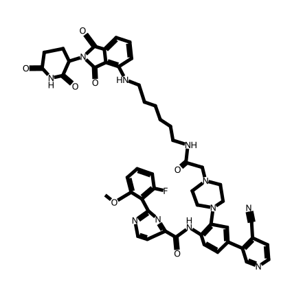 COc1cccc(F)c1-c1nccc(C(=O)Nc2ccc(-c3cnccc3C#N)cc2N2CCN(CC(=O)NCCCCCCNc3cccc4c3C(=O)N(C3CCC(=O)NC3=O)C4=O)CC2)n1